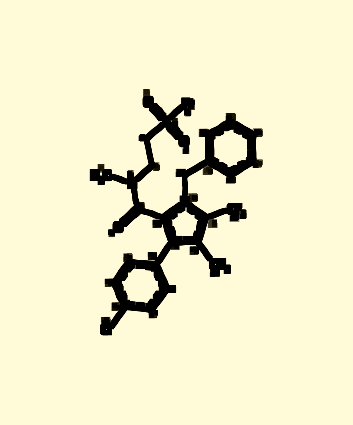 CCS(=O)(=O)CCN(C)C(=O)c1c(-c2ccc(Cl)cc2)c(C)c(C(F)(F)F)n1Cc1ccccc1